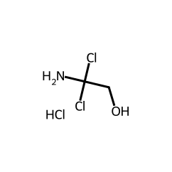 Cl.NC(Cl)(Cl)CO